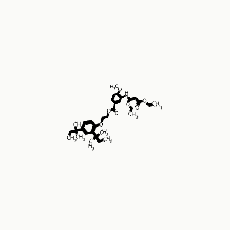 CCOC(=O)/C=C(/Nc1cc(C(=O)OCCOc2ccc(C(C)(C)CC)cc2C(C)(C)CC)ccc1OC)OCC